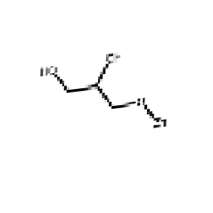 OCC(O)C[O][Zn]